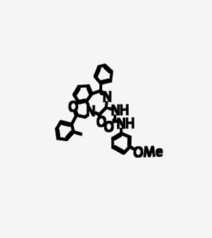 COc1cccc(NC(=O)N[C@@H]2N=C(c3ccccc3)c3ccccc3N(CC(=O)c3ccccc3C)C2=O)c1